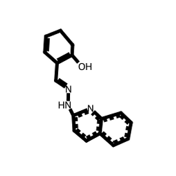 OC1=C(/C=N/Nc2ccc3ccccc3n2)C=CCC1